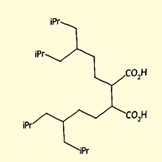 CC(C)CC(CCC(C(=O)O)C(CCC(CC(C)C)CC(C)C)C(=O)O)CC(C)C